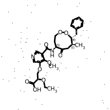 CCOC(COc1cncc(C(=O)N[C@H]2CCOO[C@H](Cc3ccccc3)[C@@H](C)CC2=O)c1OC)C(=O)O